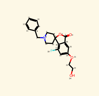 O=C1OC2(CCN(Cc3ccccc3)CC2)c2c(F)cc(OCCO)cc21